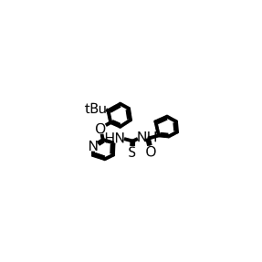 CC(C)(C)c1ccccc1Oc1ncccc1NC(=S)NC(=O)c1ccccc1